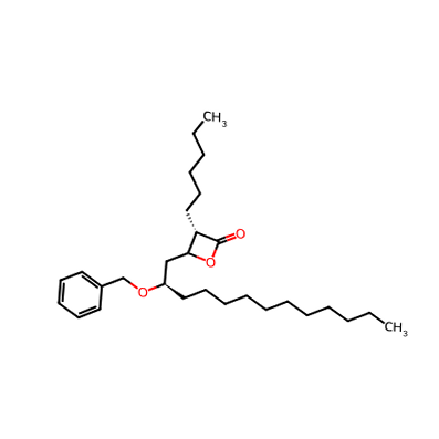 CCCCCCCCCCC[C@H](CC1OC(=O)[C@H]1CCCCCC)OCc1ccccc1